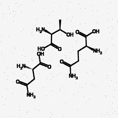 C[C@@H](O)[C@H](N)C(=O)O.NC(=O)CC[C@H](N)C(=O)O.NC(=O)C[C@H](N)C(=O)O